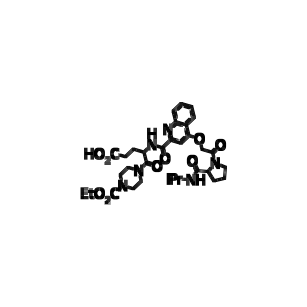 CCOC(=O)N1CCN(C(=O)C(CCC(=O)O)NC(=O)c2cc(OCC(=O)N3CCCC3C(=O)NC(C)C)c3ccccc3n2)CC1